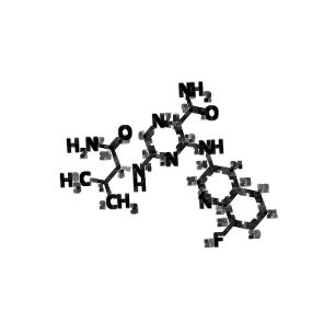 CC(C)[C@@H](Nc1cnc(C(N)=O)c(Nc2cnc3c(F)cccc3c2)n1)C(N)=O